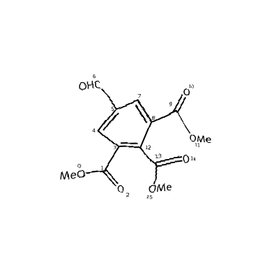 COC(=O)c1cc(C=O)cc(C(=O)OC)c1C(=O)OC